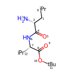 CC(C)C[C@@H](N)C(=O)N[C@H](C(=O)OC(C)(C)C)C(C)C